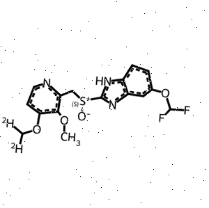 [2H]C([2H])Oc1ccnc(C[S@@+]([O-])c2nc3cc(OC(F)F)ccc3[nH]2)c1OC